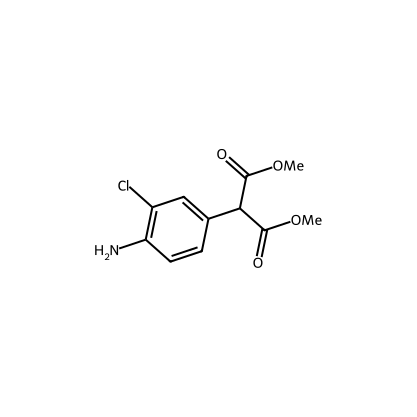 COC(=O)C(C(=O)OC)c1ccc(N)c(Cl)c1